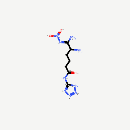 NC(=N[N+](=O)[O-])C(N)CCCC(=O)Nc1nnn[nH]1